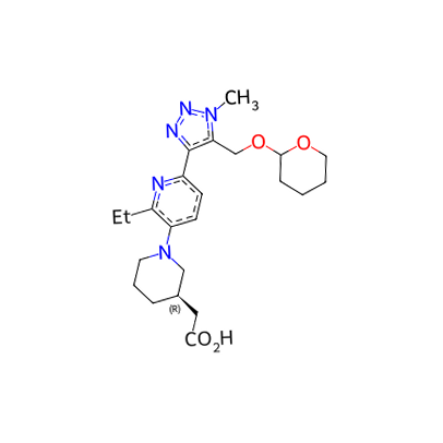 CCc1nc(-c2nnn(C)c2COC2CCCCO2)ccc1N1CCC[C@H](CC(=O)O)C1